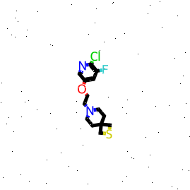 Fc1cc(OCCN2CCC3(CC2)CSC3)cnc1Cl